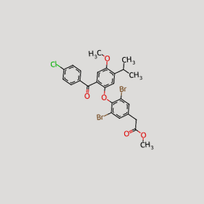 COC(=O)Cc1cc(Br)c(Oc2cc(C(C)C)c(OC)cc2C(=O)c2ccc(Cl)cc2)c(Br)c1